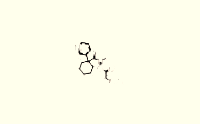 CC(=O)OCC(=O)ON(C)C(=S)C1(c2cccnc2)CCCCC1